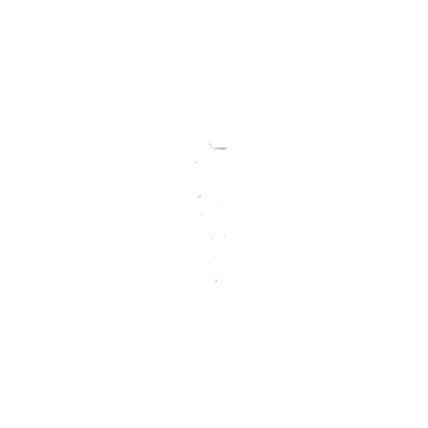 OC1(O)C=CC2=C(C1)CC1(C2)Cc2ccccc2C1